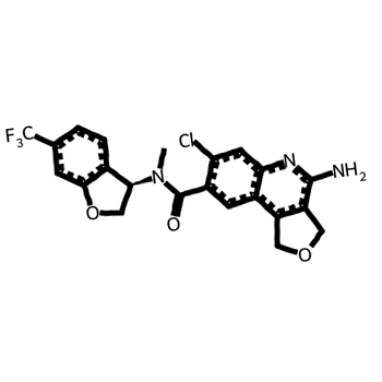 CN(C(=O)c1cc2c3c(c(N)nc2cc1Cl)COC3)[C@H]1COc2cc(C(F)(F)F)ccc21